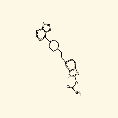 NC(=O)Oc1nc2ccc(CCN3CCN(c4cccc5sccc45)CC3)cc2s1